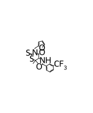 CC1(C)SC(=S)N(Cc2ccco2)C(=O)C1NC(=O)c1cccc(C(F)(F)F)c1